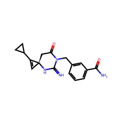 N=C1N[C@@]2(C=C2C2CC2)CC(=O)N1Cc1cccc(C(N)=O)c1